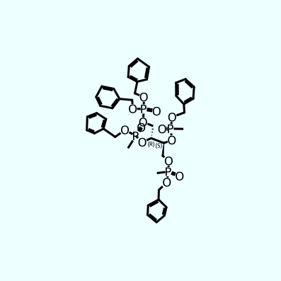 CP(=O)(OCc1ccccc1)OC[C@H](OP(C)(=O)OCc1ccccc1)[C@@H](COP(=O)(OCc1ccccc1)OCc1ccccc1)OP(C)(=O)OCc1ccccc1